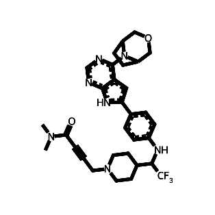 CN(C)C(=O)C#CCN1CCC(C(Nc2ccc(-c3cc4c(N5C6CCC5COC6)ncnc4[nH]3)cc2)C(F)(F)F)CC1